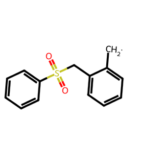 [CH2]c1ccccc1CS(=O)(=O)c1ccccc1